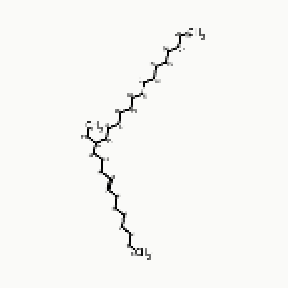 [CH2]CCCCCCC=CCCCC(CC)CCCCCCCCCCCCCC[CH2]